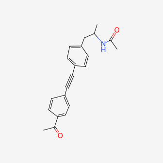 CC(=O)NC(C)Cc1ccc(C#Cc2ccc(C(C)=O)cc2)cc1